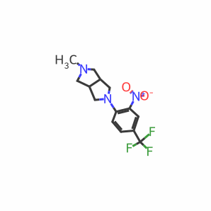 CN1CC2CN(c3ccc(C(F)(F)F)cc3[N+](=O)[O-])CC2C1